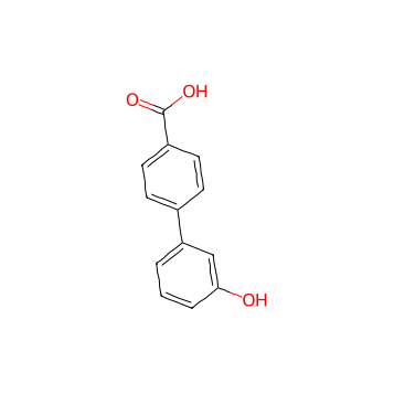 O=C(O)c1ccc(-c2cccc(O)c2)cc1